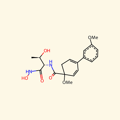 COc1cccc(C2=CCC(OC)(C(=O)N[C@H](C(=O)NO)[C@@H](C)O)C=C2)c1